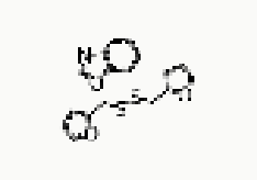 c1ccc2ocnc2c1.c1coc(CSSCc2ccco2)c1